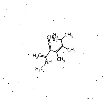 C=C=C(C(=C)NC)/C(C)=C(/C)C(C)C